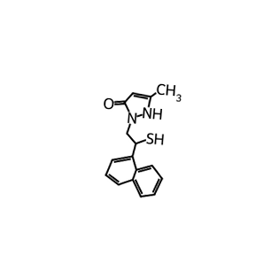 Cc1cc(=O)n(CC(S)c2cccc3ccccc23)[nH]1